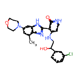 Cc1cc(N2CCOCC2)cc2[nH]c(-c3c(NCC(O)c4cccc(Cl)c4)cc[nH]c3=O)nc12